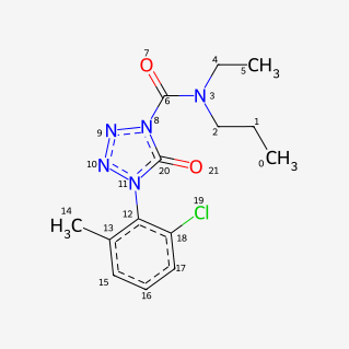 CCCN(CC)C(=O)n1nnn(-c2c(C)cccc2Cl)c1=O